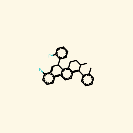 Cc1ccccc1C1=c2ccc3c(c2CCC1C)C(c1ccccc1F)C=c1c(F)cccc1=3